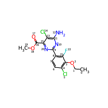 CCOc1c(Cl)ccc(-c2nc(N)c(Cl)c(C(=O)OC)n2)c1F